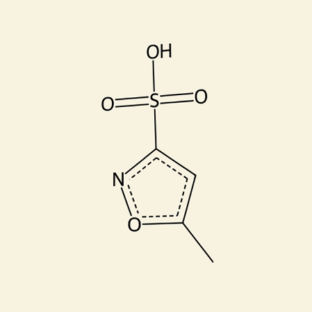 Cc1cc(S(=O)(=O)O)no1